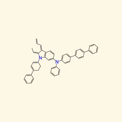 C=C/C=c1\c(=C/C)n(C2=CC=C(c3ccccc3)CC2)c2cc(N(c3ccccc3)c3ccc(-c4ccc(-c5ccccc5)cc4)cc3)ccc12